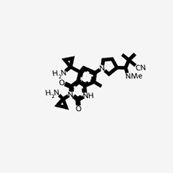 CNC(C1CCN(c2cc(C3(N)CC3)c3c(=O)n(C4(N)CC4)c(=O)[nH]c3c2C)C1)C(C)(C)C#N